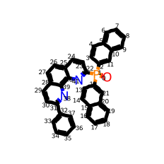 O=P(c1ccc2ccccc2c1)(c1ccc2ccccc2c1)c1ccc2ccc3ccc(-c4ccccc4)nc3c2n1